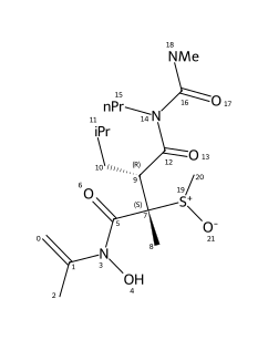 C=C(C)N(O)C(=O)[C@](C)([C@H](CC(C)C)C(=O)N(CCC)C(=O)NC)[S+](C)[O-]